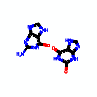 Nc1nc2nc[nH]c2c(=O)[nH]1.O=c1[nH]c(=O)c2[nH]cnc2[nH]1